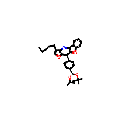 C/C=C\C=C/c1coc2c(-c3ccc(B(OC(C)C)OC(C)(C)C)cc3)c3oc4ccccc4c3nc12